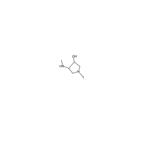 CNC1CN(I)CC1O